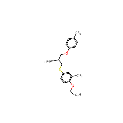 CCCCCC(COc1ccc(C(F)(F)F)cc1)CSc1ccc(OCC(=O)O)c(C)c1